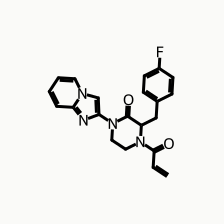 C=CC(=O)N1CCN(c2cn3ccccc3n2)C(=O)C1Cc1ccc(F)cc1